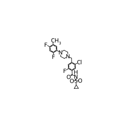 Cc1cc(N2CCN(Cc3cc(F)c(C(=O)NS(=O)(=O)C4CC4)cc3Cl)CC2)c(F)cc1F